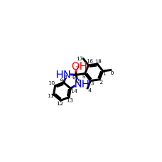 Cc1cc(C)c(C2(O)Nc3ccccc3N2)c(C)c1